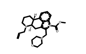 C=CCN1CCC[C@@H]2c3cccc4c3c(c(CN3CCOCC3)n4C(=O)OC)C[C@H]21